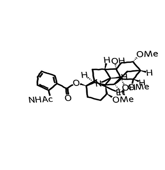 CCN1C[C@]2(OC(=O)c3ccccc3NC(C)=O)CC[C@H](OC)[C@@]34[C@@H]2C[C@@H]([C@@H]13)[C@@]1(O)C[C@H](OC)[C@H]2C[C@@H]4[C@]1(O)[C@H]2OC